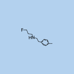 Cc1ccc(CCNCCCF)cc1